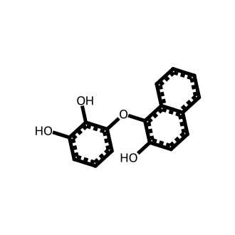 Oc1cccc(Oc2c(O)ccc3ccccc23)c1O